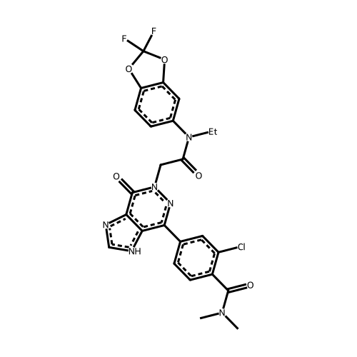 CCN(C(=O)Cn1nc(-c2ccc(C(=O)N(C)C)c(Cl)c2)c2[nH]cnc2c1=O)c1ccc2c(c1)OC(F)(F)O2